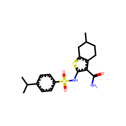 CC1CCc2c(sc(NS(=O)(=O)c3ccc(C(C)C)cc3)c2C(N)=O)C1